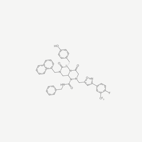 O=C1[C@H](Cc2ccc(O)cc2)N2C(=O)CN(Cc3cc(-c4ccc(F)c(C(F)(F)F)c4)no3)N(C(=O)NCc3ccccc3)C2CN1Cc1cccc2ccccc12